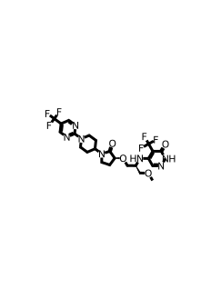 COC[C@@H](CO[C@H]1CCN(C2CCN(c3ncc(C(F)(F)F)cn3)CC2)C1=O)Nc1cn[nH]c(=O)c1C(F)(F)F